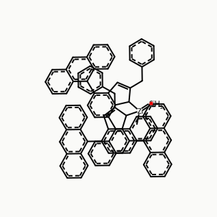 [CH3][Zr]([CH3])(=[SiH2])([CH]1C(Cc2ccccc2)=Cc2c(-c3c4ccccc4cc4ccccc34)ccc(-c3c4ccccc4cc4ccccc34)c21)[CH]1C(Cc2ccccc2)=Cc2c(-c3c4ccccc4cc4ccccc34)ccc(-c3c4ccccc4cc4ccccc34)c21